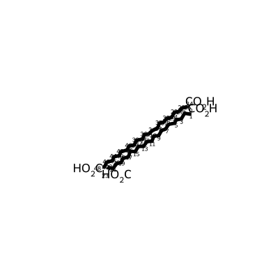 O=C(O)CCCCCCCCCCCCCCCCCCCCCCC(=O)O.O=C(O)CCCCCCCCCCCCCCCCCCCCCCCC(=O)O